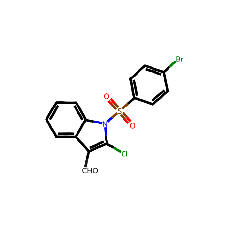 O=Cc1c(Cl)n(S(=O)(=O)c2ccc(Br)cc2)c2ccccc12